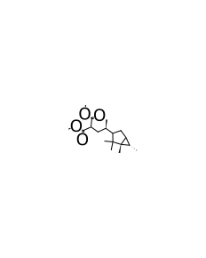 COC(=O)C(C[C@@H](C)C1CC2[C@H](C)[C@]2(C)C1(C)C)C(=O)OC